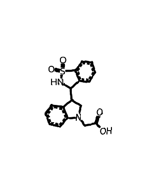 O=C(O)CN1CC(C2NS(=O)(=O)c3ccccc32)c2ccccc21